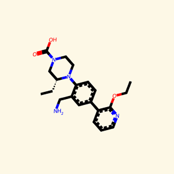 CCOc1ncccc1-c1ccc(N2CCN(C(=O)O)C[C@H]2CC)c(CN)c1